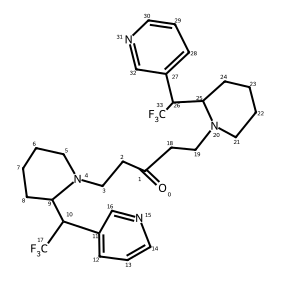 O=C(CCN1CCCCC1C(c1cccnc1)C(F)(F)F)CCN1CCCCC1C(c1cccnc1)C(F)(F)F